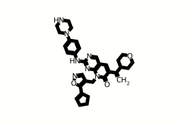 C=C(c1cc2cnc(Nc3ccc(N4CCNCC4)cc3)nc2n(Cc2cnoc2C2=CCCC2)c1=O)C1CCOCC1